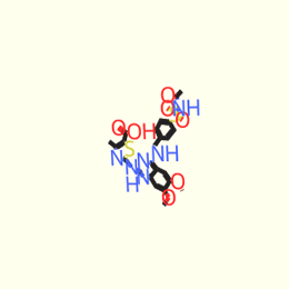 COc1cc2nc(Nc3nc(C)c(C(=O)O)s3)nc(NCc3ccc(S(=O)(=O)NC(C)=O)cc3)c2cc1OC